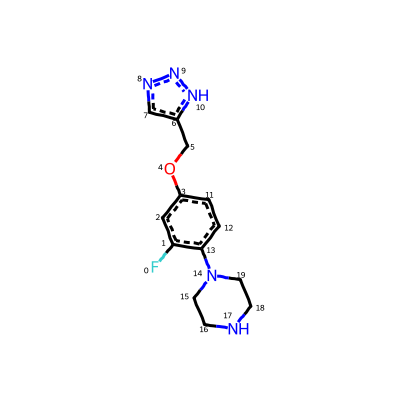 Fc1cc(OCc2cnn[nH]2)ccc1N1CCNCC1